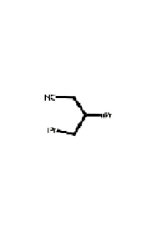 CCCC(CC#N)CC(C)C